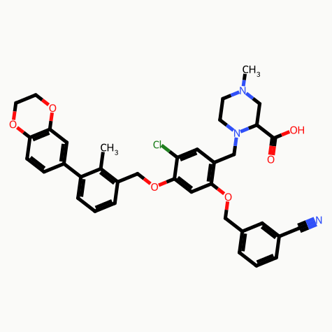 Cc1c(COc2cc(OCc3cccc(C#N)c3)c(CN3CCN(C)CC3C(=O)O)cc2Cl)cccc1-c1ccc2c(c1)OCCO2